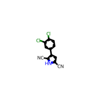 N#Cc1cc(-c2ccc(Cl)c(Cl)c2)c(C#N)[nH]1